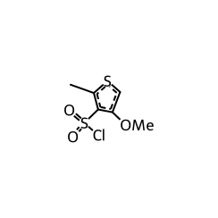 COc1csc(C)c1S(=O)(=O)Cl